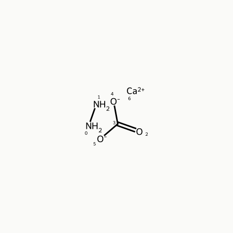 NN.O=C([O-])[O-].[Ca+2]